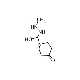 CNNC(O)N1CCC(=O)CC1